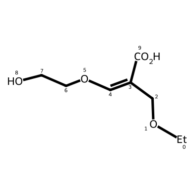 CCOCC(=COCCO)C(=O)O